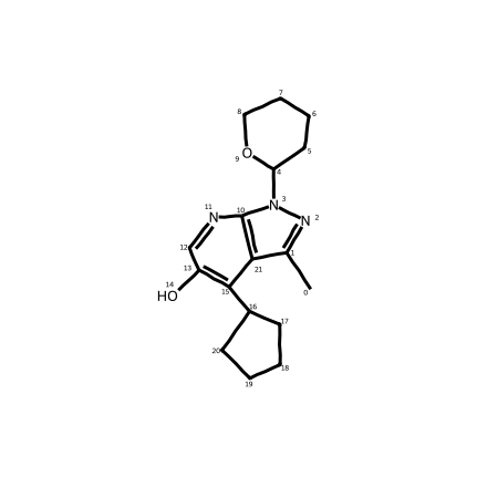 Cc1nn(C2CCCCO2)c2ncc(O)c(C3CCCC3)c12